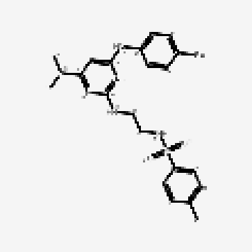 Cc1ccc(S(=O)(=O)NCCNc2nc(Nc3ccc(F)cc3)cc(N(C)C)n2)cc1